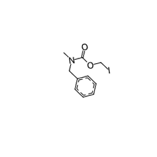 CN(Cc1ccccc1)C(=O)OCI